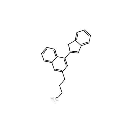 CCCCc1cc(C2=Cc3ccccc3[CH]2)c2ccccc2c1